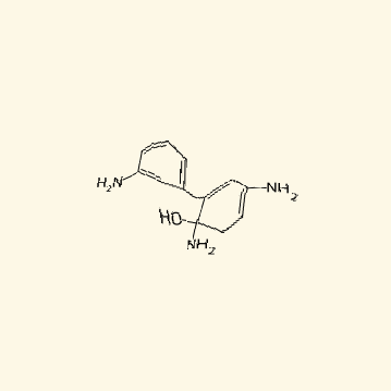 NC1=CCC(N)(O)C(c2cccc(N)c2)=C1